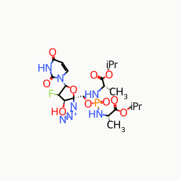 CC(C)OC(=O)[C@H](C)NP(=O)(N[C@@H](C)C(=O)OC(C)C)OC[C@@]1(N=[N+]=[N-])O[C@@H](n2ccc(=O)[nH]c2=O)[C@H](F)[C@@H]1O